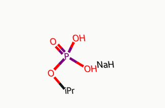 CC(C)OP(=O)(O)O.[NaH]